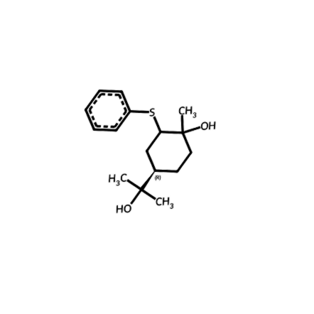 CC1(O)CC[C@@H](C(C)(C)O)CC1Sc1ccccc1